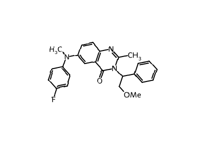 COCC(c1ccccc1)n1c(C)nc2ccc(N(C)c3ccc(F)cc3)cc2c1=O